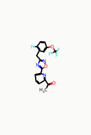 CC(=O)c1cccc(-c2nc(Cc3cc(OC(F)(F)F)ccc3F)no2)n1